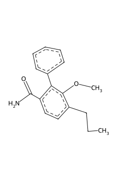 CCCc1ccc(C(N)=O)c(-c2ccccc2)c1OC